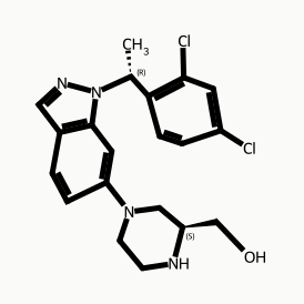 C[C@H](c1ccc(Cl)cc1Cl)n1ncc2ccc(N3CCN[C@H](CO)C3)cc21